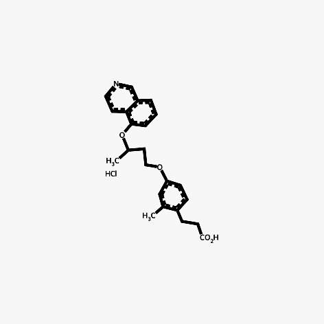 Cc1cc(OCCC(C)Oc2cccc3cnccc23)ccc1CCC(=O)O.Cl